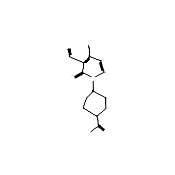 O=Cc1c(Cl)ccn(C2CCC(C(=O)O)CC2)c1=O